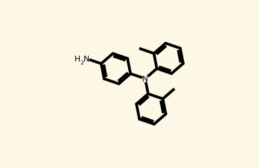 Cc1ccccc1N(c1ccc(N)cc1)c1ccccc1C